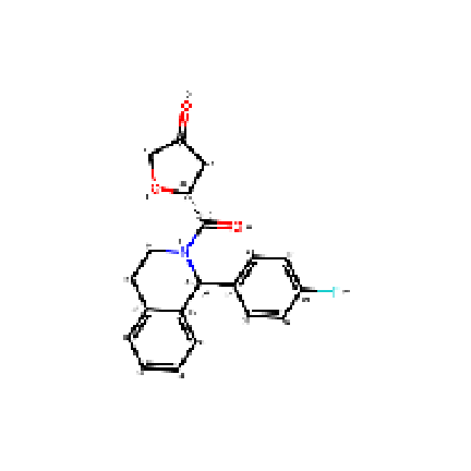 O=C1CO[C@@H](C(=O)N2CCc3ccccc3[C@@H]2c2ccc(F)cc2)C1